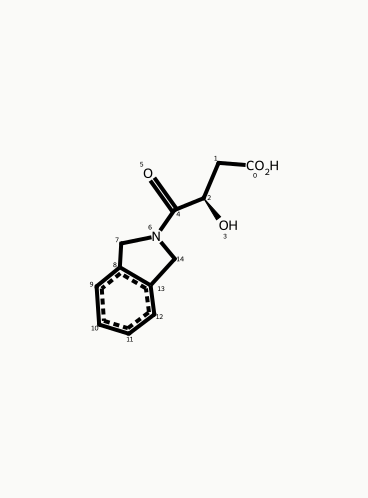 O=C(O)C[C@@H](O)C(=O)N1Cc2ccccc2C1